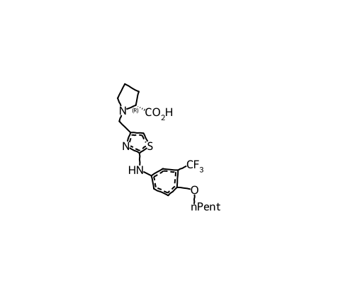 CCCCCOc1ccc(Nc2nc(CN3CCC[C@@H]3C(=O)O)cs2)cc1C(F)(F)F